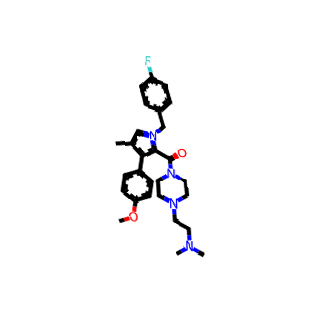 COc1ccc(-c2c(C)cn(Cc3ccc(F)cc3)c2C(=O)N2CCN(CCN(C)C)CC2)cc1